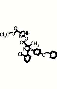 Cc1c(C(=O)Oc2nc(C(=O)OCC(Cl)(Cl)Cl)c[nH]2)nc(-c2ccccc2Cl)n1-c1ccc(OCc2ccccc2)cc1